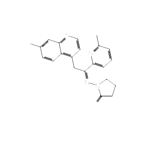 Cc1cccc(/C(Cc2ccnc3cc(Cl)ccc23)=N\N2CCCC2=O)n1